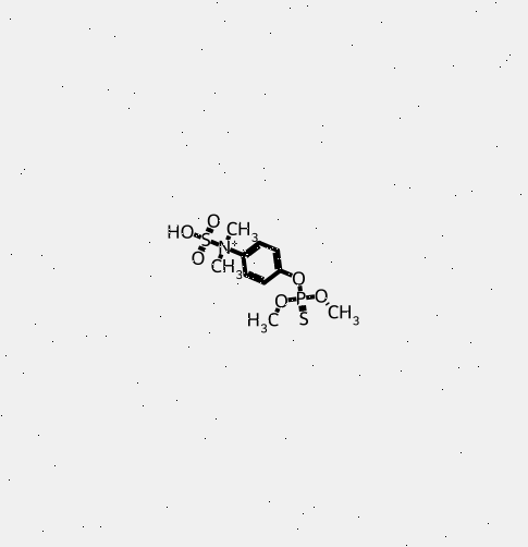 COP(=S)(OC)Oc1ccc([N+](C)(C)S(=O)(=O)O)cc1